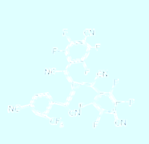 N#CC(=C1C(=C(\C#N)c2ccc(C#N)cc2C(F)(F)F)/C1=C(\C#N)c1c(F)c(F)c(C#N)c(F)c1F)c1c(F)c(F)c(C#N)c(F)c1F